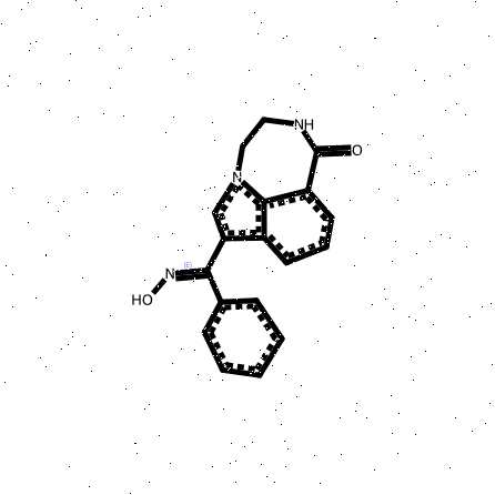 O=C1NCCn2cc(/C(=N/O)c3ccccc3)c3cccc1c32